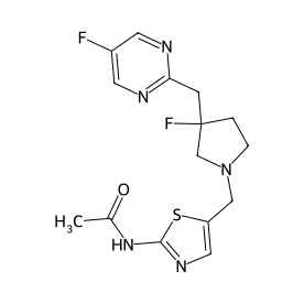 CC(=O)Nc1ncc(CN2CCC(F)(Cc3ncc(F)cn3)C2)s1